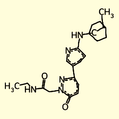 CCNC(=O)Cn1nc(-c2ccc(NC34CCC(CC3)C(C)C4)nc2)ccc1=O